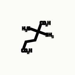 O=C(O)CCC([SiH3])([SiH3])C(=O)O